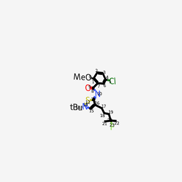 COc1ccc(Cl)cc1C(=O)/N=c1\sn(C(C)(C)C)cc1CCCC(C)(C)F